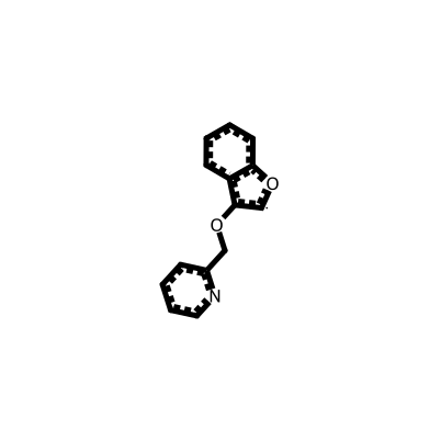 [c]1oc2ccccc2c1OCc1ccccn1